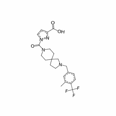 Cc1cc(CN2CCC3(CCN(C(=O)n4ccc(C(=O)O)n4)CC3)C2)ccc1C(F)(F)F